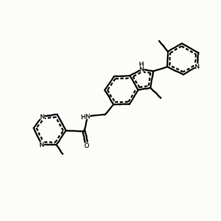 Cc1ccncc1-c1[nH]c2ccc(CNC(=O)c3cncnc3C)cc2c1C